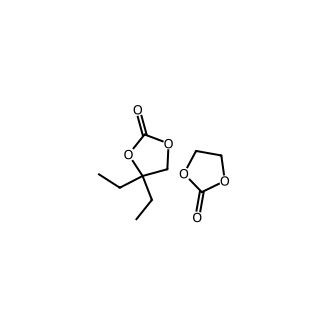 CCC1(CC)COC(=O)O1.O=C1OCCO1